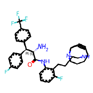 N[C@H](C(=O)Nc1cccc(F)c1CCC1CNC2C#CCN1CCC2)[C@@H](c1ccc(F)cc1)c1ccc(C(F)(F)F)cc1